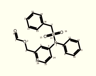 O=COCc1cc(N(c2ccccc2)S(=O)(=O)Cc2ccccc2)ccn1